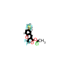 CC(Cl)OC(=O)C1=Cc2cc(S(F)(F)(F)(F)F)ccc2OC1C(F)(F)F